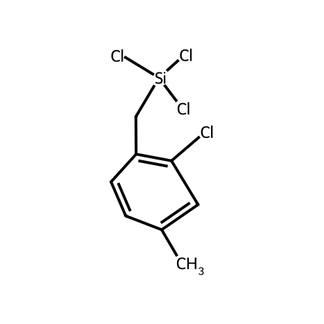 Cc1ccc(C[Si](Cl)(Cl)Cl)c(Cl)c1